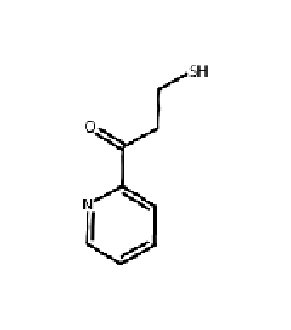 O=C(CCS)c1ccccn1